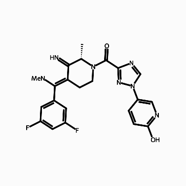 CN/C(=C1/CCN(C(=O)c2ncn(-c3ccc(O)nc3)n2)[C@@H](C)C1=N)c1cc(F)cc(F)c1